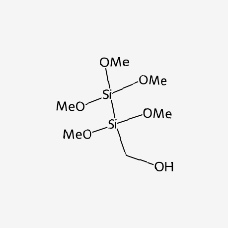 CO[Si](CO)(OC)[Si](OC)(OC)OC